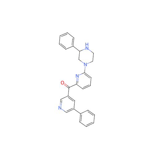 O=C(c1cncc(-c2ccccc2)c1)c1cccc(N2CCNC(c3ccccc3)C2)n1